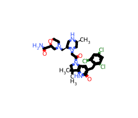 C[C@@H]1CN(CC(=O)N2CC(C)(C)c3[nH]c(=O)c(Cc4c(Cl)cc(Cl)cc4Cl)cc32)[C@@H](CN2CCOC(C(N)=O)C2)CN1